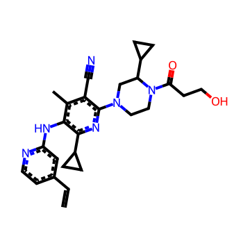 C=Cc1ccnc(Nc2c(C3CC3)nc(N3CCN(C(=O)CCO)C(C4CC4)C3)c(C#N)c2C)c1